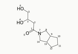 O=C(CC(O)CO)N1CC2CCCC2C1